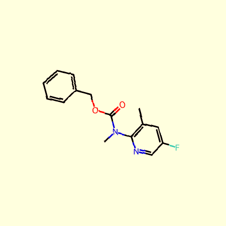 Cc1cc(F)cnc1N(C)C(=O)OCc1ccccc1